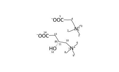 C[N+](C)(C)CC(=O)[O-].C[N+](C)(C)C[C@H](O)CC(=O)[O-]